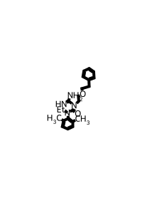 CCN(C(=O)N(CCOCCc1ccccc1)C(=N)N)c1c(C)cccc1C